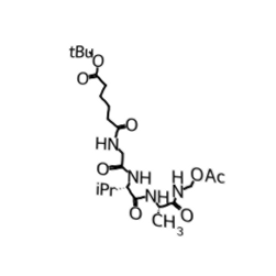 CC(=O)OCNC(=O)[C@H](C)NC(=O)[C@@H](NC(=O)CNC(=O)CCCCC(=O)OC(C)(C)C)C(C)C